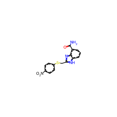 NC(=O)c1cccc2[nH]c(CSc3ccc([N+](=O)[O-])cc3)nc12